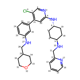 Clc1cnc(N[C@H]2CC[C@H](NCc3ccccn3)CC2)cc1-c1cccc(NCC2CCOCC2)c1